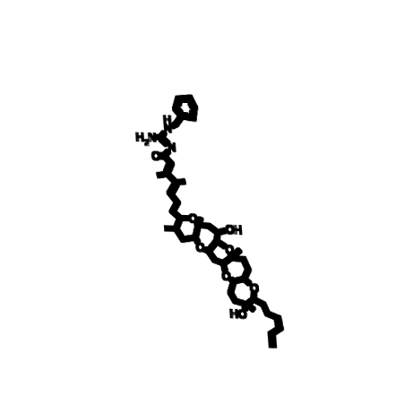 C=C/C=C\CCC1OC2CCC3(C)OC4C(O)CC5(C)OC(CC/C=C(C)/C(C)=C/C(=O)/N=C(\N)NCc6ccccc6)C(C)CC5OC4CC3OC2CCC1(C)O